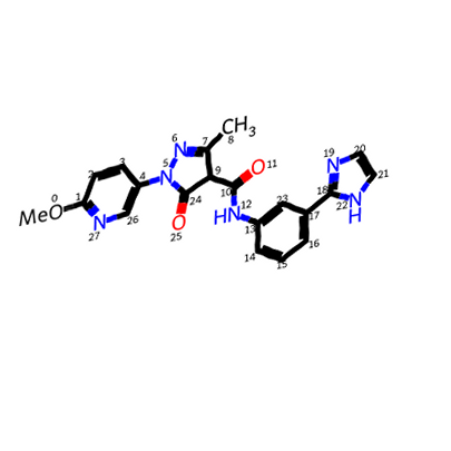 COc1ccc(N2N=C(C)C(C(=O)Nc3cccc(-c4ncc[nH]4)c3)C2=O)cn1